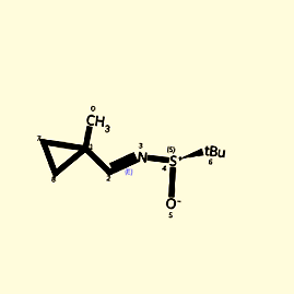 CC1(/C=N/[S@+]([O-])C(C)(C)C)CC1